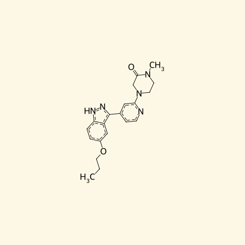 CCCOc1ccc2[nH]nc(-c3ccnc(N4CCN(C)C(=O)C4)c3)c2c1